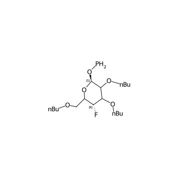 CCCCOCC1O[C@@H](OP)C(OCCCC)C(OCCCC)[C@@H]1F